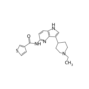 CCN1CCC(c2c[nH]c3ccc(NC(=O)c4ccsc4)nc23)CC1